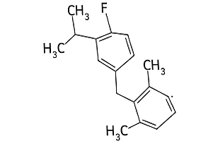 Cc1[c]ccc(C)c1Cc1ccc(F)c(C(C)C)c1